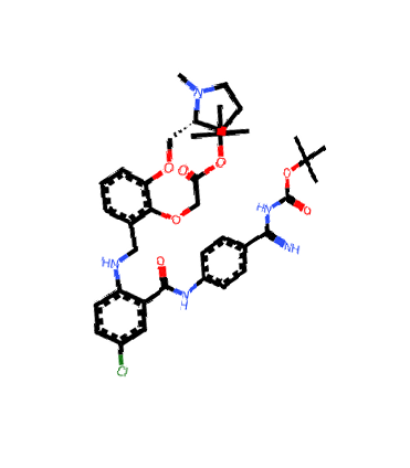 CN1CCC[C@@H]1COc1cccc(CNc2ccc(Cl)cc2C(=O)Nc2ccc(C(=N)NC(=O)OC(C)(C)C)cc2)c1OCC(=O)OC(C)(C)C